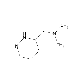 CN(C)CC1CCC[N]N1